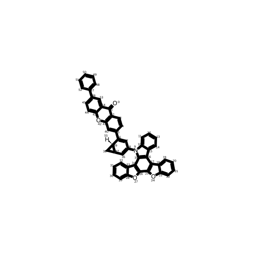 O=c1c2ccc(C3=CC(n4c5ccccc5c5c6c7ccccc7oc6c6oc7ccccc7c6c54)=CC4C[C@@H]34)cc2oc2ccc(-c3ccccc3)cc12